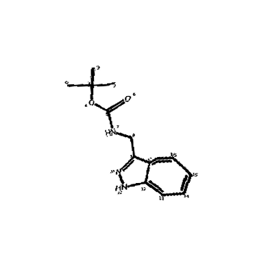 CC(C)(C)OC(=O)NCc1n[nH]c2ccccc12